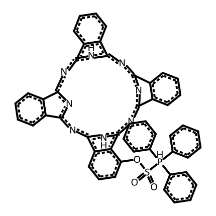 O=S(=O)(Oc1cccc2c3nc4nc(nc5[nH]c(nc6nc(nc([nH]3)c12)-c1ccccc1-6)c1ccccc51)-c1ccccc1-4)[PH](c1ccccc1)(c1ccccc1)c1ccccc1